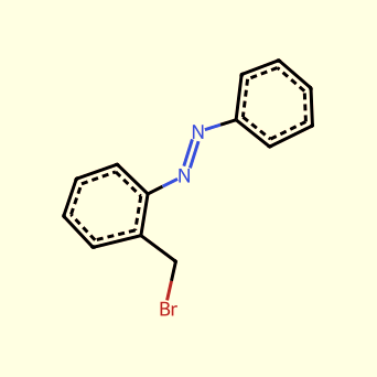 BrCc1ccccc1N=Nc1ccccc1